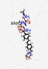 COC(=O)[C@H](CNC(=O)CNC1CC1)NC(=O)c1ccc(/C=C/c2ccc(CN3CCOCC3)cc2)cc1